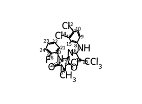 CN1C(=O)C(=NC(Nc2ccc(Cl)c(Cl)c2)C(Cl)C(Cl)(Cl)Cl)N(c2ccccc2F)C1=O